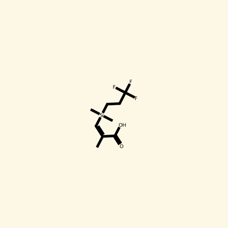 CC(=C[Si](C)(C)CCC(F)(F)F)C(=O)O